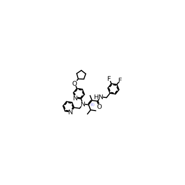 C/C(C(=O)NCc1ccc(F)c(F)c1)=C(/C(C)C)N(Cc1ccccn1)c1ccc(OC2CCCC2)cn1